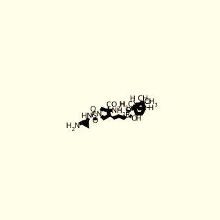 CC1(C)[C@H]2C[C@@H]3OB(CCC[C@H]4CN(S(=O)(=O)NC5CC5N)C[C@@]4(N)C(=O)O)O[C@]3(C)[C@@H]1C2